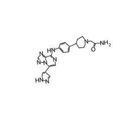 NC(=O)CN1CCC(c2ccc(Nc3ncc(-c4cn[nH]c4)n4ncnc34)cc2)CC1